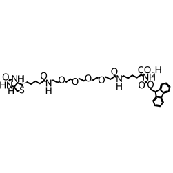 O=C(CCCC[C@@H]1SC[C@@H]2NC(=O)N[C@@H]21)NCCOCCOCCOCCOCCC(=O)NCCCCC(NC(=O)OCC1c2ccccc2-c2ccccc21)C(=O)O